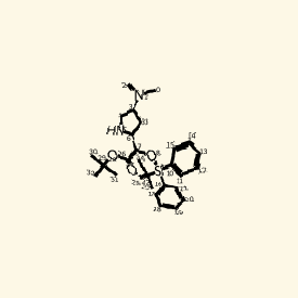 CN(C)[C@@H]1CN[C@H](C(O[Si](c2ccccc2)(c2ccccc2)C(C)(C)C)C(=O)OC(C)(C)C)C1